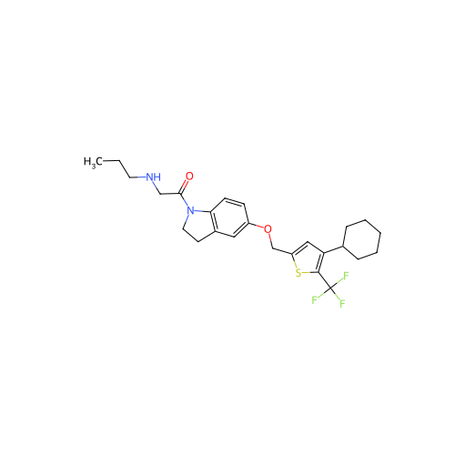 CCCNCC(=O)N1CCc2cc(OCc3cc(C4CCCCC4)c(C(F)(F)F)s3)ccc21